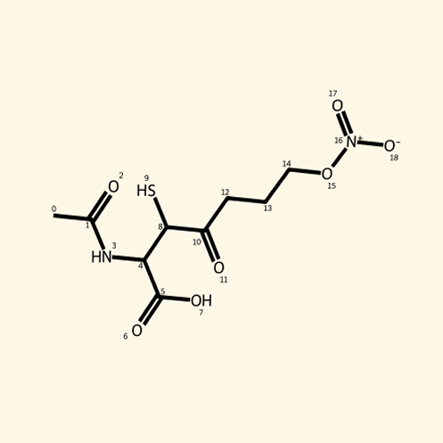 CC(=O)NC(C(=O)O)C(S)C(=O)CCCO[N+](=O)[O-]